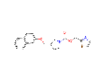 O=C(OCc1nccs1)N1CC[C@H](COc2ccc3ccccc3c2)C1